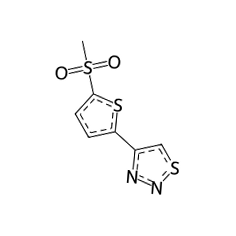 CS(=O)(=O)c1ccc(-c2csnn2)s1